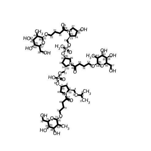 CC(C)OC[C@@H]1C[C@@H](OP(=O)(O)OC[C@@H]2C[C@@H](OP(C)(=O)OC[C@@H]3C[C@@H](O)CN3C(=O)CCCO[C@@H]3OC(CO)[C@H](O)[C@H](O)C3C)CN2C(=O)CCCO[C@@H]2OC(CO)[C@H](O)[C@H](O)C2C)CN1C(=O)CCCO[C@@H]1OC(CO)[C@H](O)[C@H](O)C1C